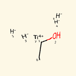 CCO.[H-].[H-].[H-].[H-].[Ti+4]